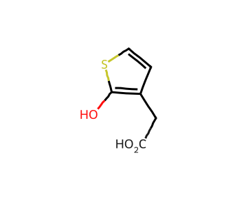 O=C(O)Cc1ccsc1O